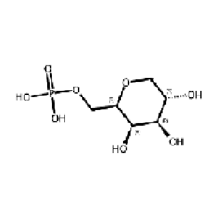 O=P(O)(O)OC[C@H]1O[CH][C@H](O)[C@@H](O)[C@H]1O